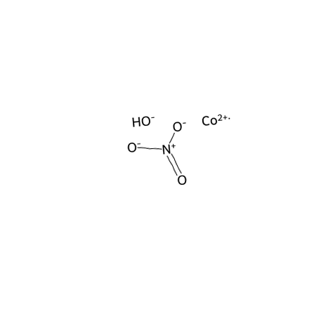 O=[N+]([O-])[O-].[Co+2].[OH-]